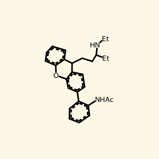 CCNC(CC)CCC1c2ccccc2Oc2cc(-c3ccccc3NC(C)=O)ccc21